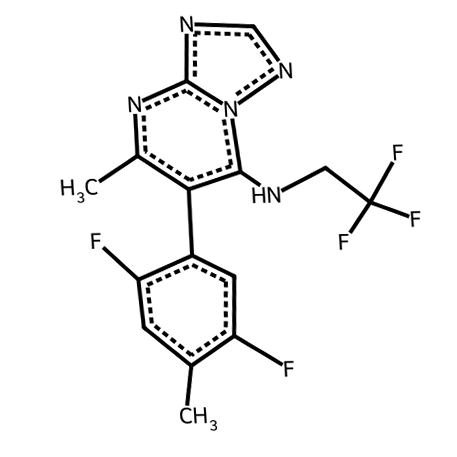 Cc1cc(F)c(-c2c(C)nc3ncnn3c2NCC(F)(F)F)cc1F